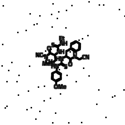 CCNC(=S)NC(CSC)C(=O)N(C)C#N.COc1ccc(NC(=S)NC(Cc2ccccc2)C(=O)NCC#N)cc1